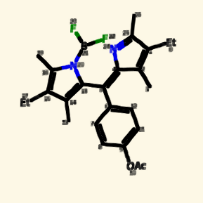 CCC1=C(C)/C(=C(\c2ccc(OC(C)=O)cc2)c2c(C)c(CC)c(C)n2B(F)F)N=C1C